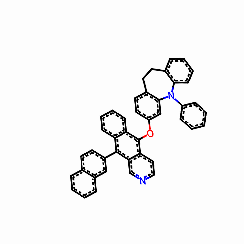 c1ccc(N2c3ccccc3CCc3ccc(Oc4c5ccccc5c(-c5ccc6ccccc6c5)c5cnccc45)cc32)cc1